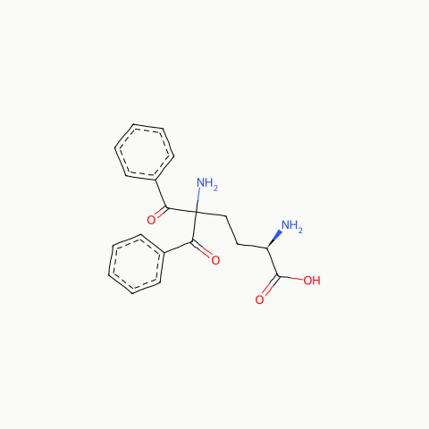 N[C@H](CCC(N)(C(=O)c1ccccc1)C(=O)c1ccccc1)C(=O)O